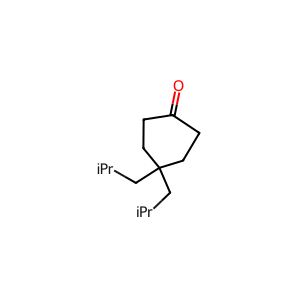 CC(C)CC1(CC(C)C)CCC(=O)CC1